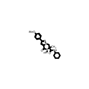 CCCN1C(=O)c2cc(-c3ccc(OC)cc3)nn2CC1(C)C(=O)NC1CCCCC1